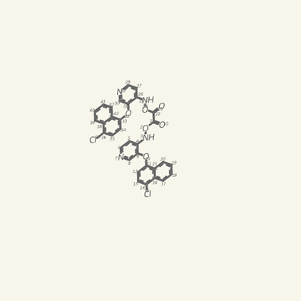 O=C(ONc1ccncc1Oc1ccc(Cl)c2ccccc12)C(=O)ONc1ccncc1Oc1ccc(Cl)c2ccccc12